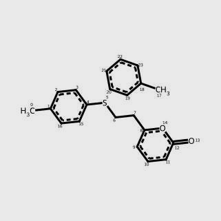 Cc1ccc(SCCc2cccc(=O)o2)cc1.Cc1ccccc1